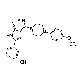 N#Cc1cccc(-c2cc3c(N4CCN(c5ccc(OC(F)(F)F)cc5)CC4)ncnc3[nH]2)c1